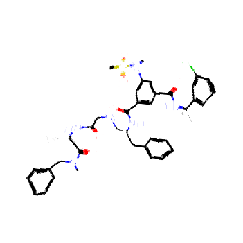 CC(C)[C@H](NC(=O)[C@H](C)NC[C@H](Cc1ccccc1)NC(=O)c1cc(C(=O)N[C@H](C)c2cccc(Cl)c2)cc(N(C)S(C)(=O)=O)c1)C(=O)N(C)Cc1ccccc1